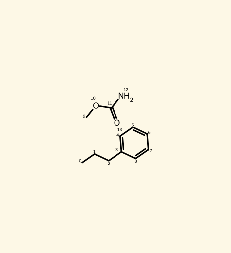 CCCc1ccccc1.COC(N)=O